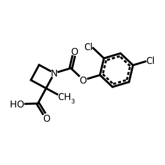 CC1(C(=O)O)CCN1C(=O)Oc1ccc(Cl)cc1Cl